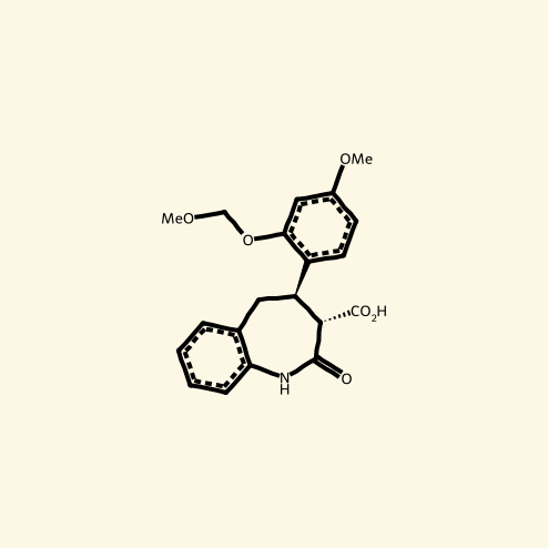 COCOc1cc(OC)ccc1[C@@H]1Cc2ccccc2NC(=O)[C@H]1C(=O)O